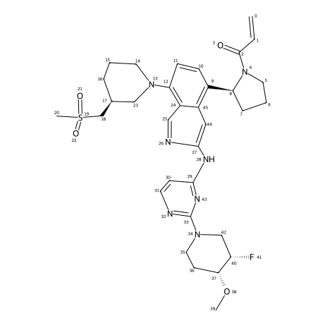 C=CC(=O)N1CCC[C@H]1c1ccc(N2CCC[C@H](CS(C)(=O)=O)C2)c2cnc(Nc3ccnc(N4CC[C@@H](OC)[C@@H](F)C4)n3)cc12